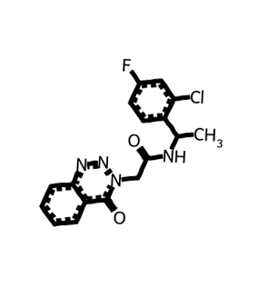 CC(NC(=O)Cn1nnc2ccccc2c1=O)c1ccc(F)cc1Cl